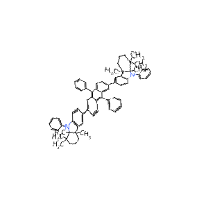 CC1(C)CCCC2(C)c3cc(-c4ccc5c(-c6ccccc6)c6cc(-c7ccc8c(c7)C7(C)CCCC(C)(C)C7(C)N8c7ccccc7)ccc6c(-c6ccccc6)c5c4)ccc3N(c3ccccc3)C12C